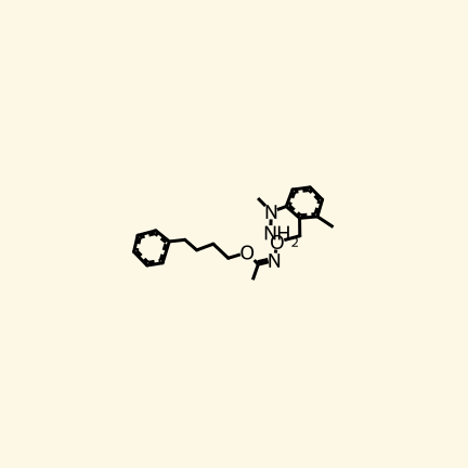 CC(=NOCc1c(C)cccc1N(C)N)OCCCCc1ccccc1